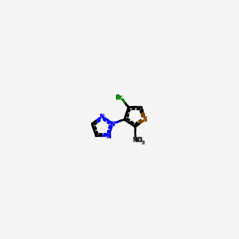 O=[N+]([O-])c1scc(Br)c1-n1nccn1